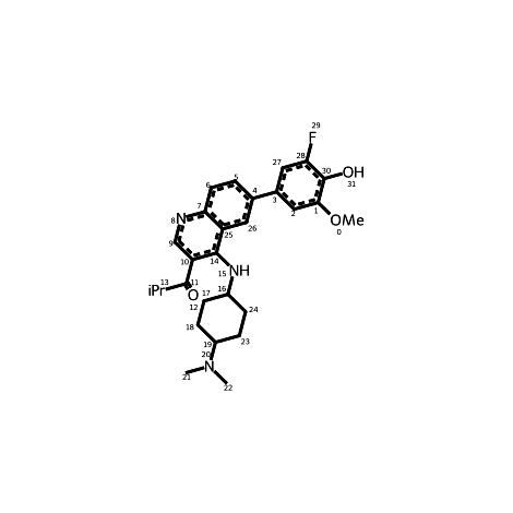 COc1cc(-c2ccc3ncc(C(=O)C(C)C)c(NC4CCC(N(C)C)CC4)c3c2)cc(F)c1O